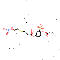 CC(=O)Oc1ccc(OC(=O)CCSCCO[N+](=O)[O-])cc1S(=O)(=O)O